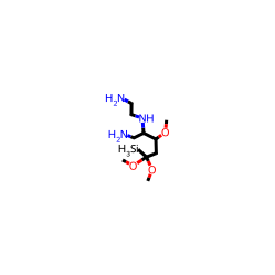 COC(CC([SiH3])(OC)OC)C(CN)NCCN